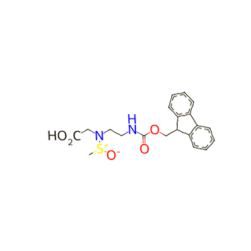 C[S+]([O-])N(CCNC(=O)OCC1c2ccccc2-c2ccccc21)CC(=O)O